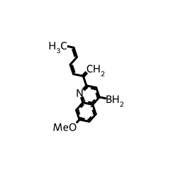 Bc1cc(C(=C)/C=C\C=C/C)nc2cc(OC)ccc12